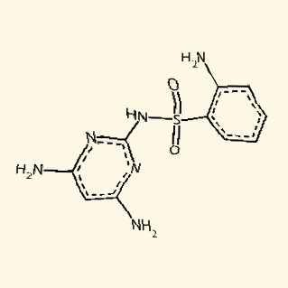 Nc1cc(N)nc(NS(=O)(=O)c2ccccc2N)n1